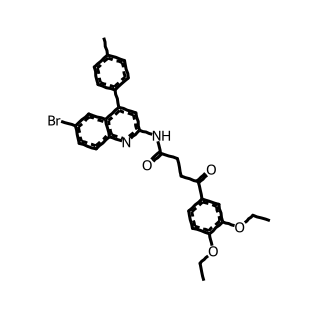 CCOc1ccc(C(=O)CCC(=O)Nc2cc(-c3ccc(C)cc3)c3cc(Br)ccc3n2)cc1OCC